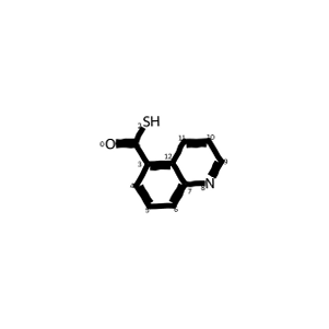 O=C(S)c1cccc2ncccc12